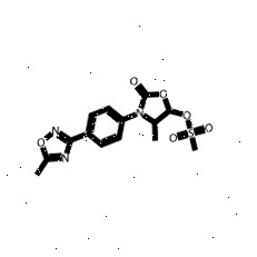 Cc1nc(-c2ccc(N3C(=O)OC(OS(C)(=O)=O)C3C)cc2)no1